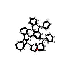 C1=CCC=c2c(c3c4nccc5c4n(c3n2-c2ccccn2)-c2cc(N(c3ccccn3)c3ccccn3)cc3c2B5c2ccccc2N3c2ccccc2)=C1